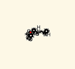 COc1cc(Nc2c(C(=O)NCCc3c[nH]c4ccccc34)cccc2[N+](=O)[O-])cc(OC)c1OC